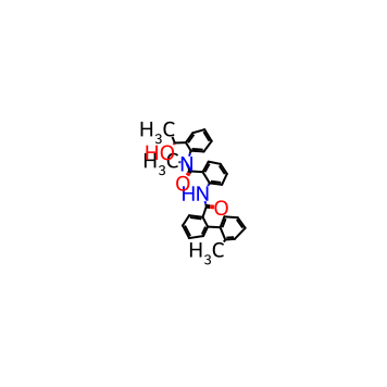 Cc1ccccc1-c1ccccc1C(=O)Nc1ccccc1C(=O)N(C)c1ccccc1C(C)O